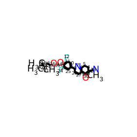 CC1(C#N)CCc2nc(-c3cc(F)c(OCOCC[Si](C)(C)C)c(F)c3)ccc2C1=O